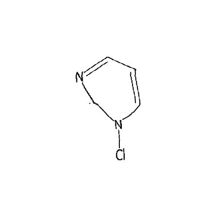 ClN1[CH]N=CC=C1